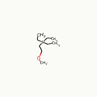 [CH2]OCC[Si](CC)(CC)CC